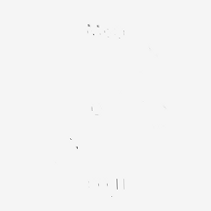 COc1cccc(C(=CCOCCN2CCCC(C(=O)O)C2)c2ccccc2)c1